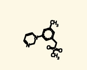 Cc1cc(CS(C)(=O)=O)cc(N2C=CC=NC2)c1